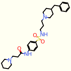 O=C(CCN1CCCCC1)Nc1ccc(S(=O)(=O)NCCCN2CCC(Cc3ccccc3)CC2)cc1